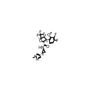 COc1c([C@H]2[C@H](C(=O)N[C@H]3C[C@@H]3c3cnn(C)c3)O[C@@](C)(C(F)(F)F)[C@H]2C)ccc(F)c1F